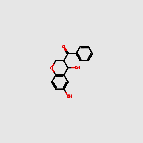 O=C(c1ccccc1)C1COc2ccc(O)cc2C1O